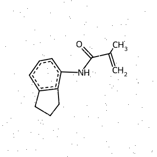 C=C(C)C(=O)Nc1cccc2c1CCC2